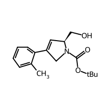 Cc1ccccc1C1=C[C@@H](CO)N(C(=O)OC(C)(C)C)C1